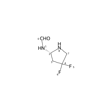 O=CN[C@H]1CC(F)(F)CN1